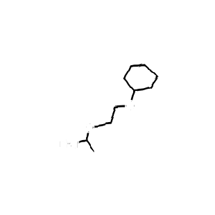 CCCCC(C)OCCOC1CCCCC1